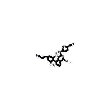 Cc1cc(/C=C/C#N)cc(C)c1-c1cccc2c(N)nc(Nc3ccc(C#N)nn3)nc12